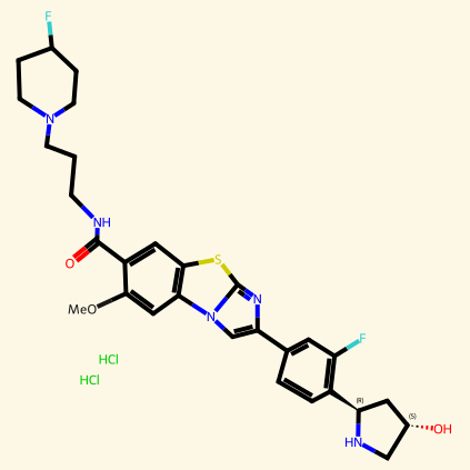 COc1cc2c(cc1C(=O)NCCCN1CCC(F)CC1)sc1nc(-c3ccc([C@H]4C[C@H](O)CN4)c(F)c3)cn12.Cl.Cl